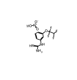 N=C(N)Nc1cccc(OC(F)(F)C(F)F)c1.O=[N+]([O-])O